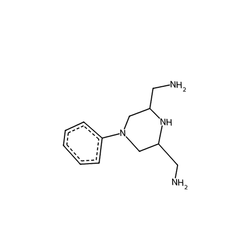 NCC1CN(c2ccccc2)CC(CN)N1